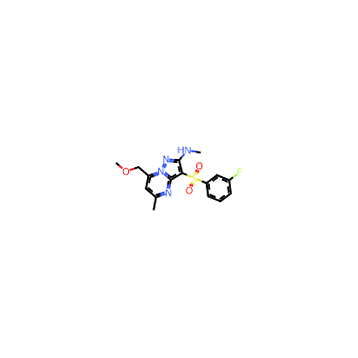 CNc1nn2c(COC)cc(C)nc2c1S(=O)(=O)c1cccc(F)c1